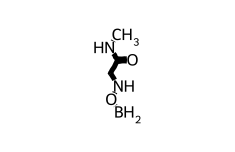 BONCC(=O)NC